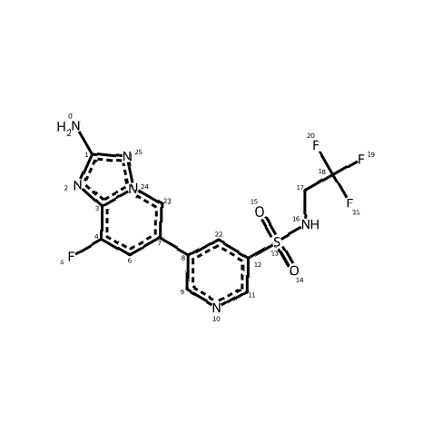 Nc1nc2c(F)cc(-c3cncc(S(=O)(=O)NCC(F)(F)F)c3)cn2n1